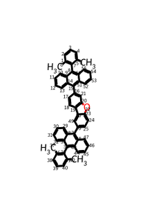 Cc1cccc(C)c1-c1c2ccccc2c(-c2ccc3c(c2)oc2ccc(-c4c5ccccc5c(-c5c(C)cccc5C)c5ccccc45)cc23)c2ccccc12